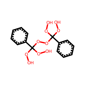 OOC(OO)(OOC(OO)(OO)c1ccccc1)c1ccccc1